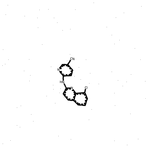 N#Cc1ccc(Nc2ccc3cccc(Cl)c3n2)nc1